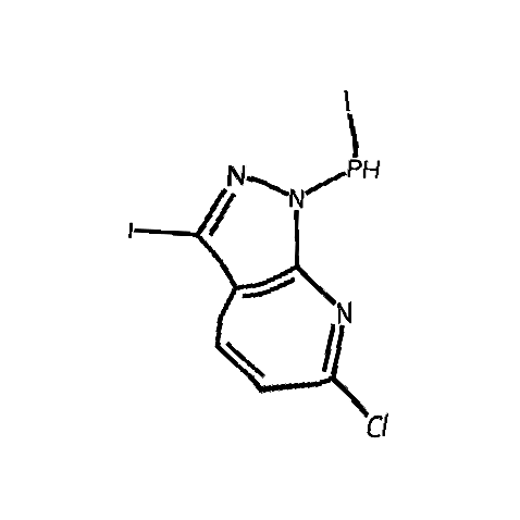 Clc1ccc2c(I)nn(PI)c2n1